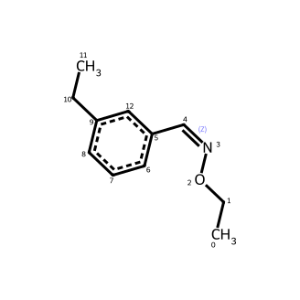 CCO/N=C\c1cccc(CC)c1